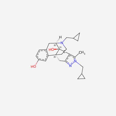 Cc1c2c(nn1CC1CC1)C[C@]13CCN(CC4CC4)[C@H](Cc4ccc(O)cc41)[C@]3(O)C2